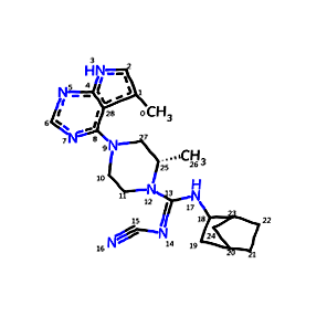 Cc1c[nH]c2ncnc(N3CCN(/C(=N\C#N)NC4CC5CCC4C5)[C@@H](C)C3)c12